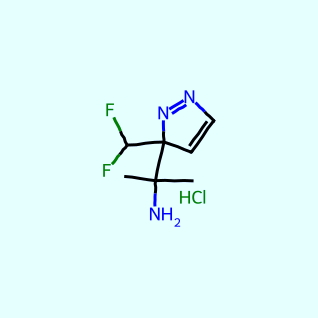 CC(C)(N)C1(C(F)F)C=CN=N1.Cl